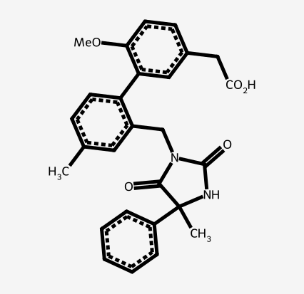 COc1ccc(CC(=O)O)cc1-c1ccc(C)cc1CN1C(=O)NC(C)(c2ccccc2)C1=O